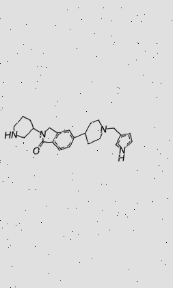 O=C1c2ccc(C3CCN(Cc4cc[nH]c4)CC3)cc2CN1C1CCCNC1